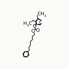 CCc1cccc(OC(=O)OCCCCCCCc2ccccc2)c1CC